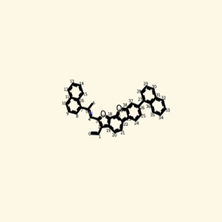 C=Cc1c(/C=C(\C)c2cccc3ccccc23)oc2c1ccc1c3ccc(-c4cccc5ccccc45)cc3oc12